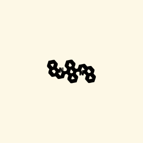 c1ccc2c(c1)ccc1ccc(-c3c4ccccc4c(-c4ccc5ccc6ccccc6c5n4)c4ccccc34)nc12